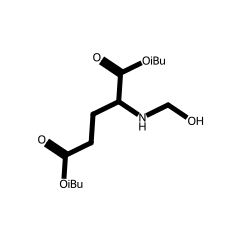 CC(C)COC(=O)CCC(NCO)C(=O)OCC(C)C